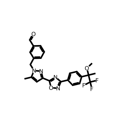 COC(C)(c1ccc(-c2noc(-c3cc(C)n(Cc4cccc(C=O)c4)n3)n2)cc1)C(F)(F)F